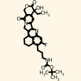 CCC1(O)C(=O)OCc2c1cc1n(c2=O)Cc2c-1nc1cc(F)c(CCCNC(=O)OC(C)(C)C)c3c1c2CCC3